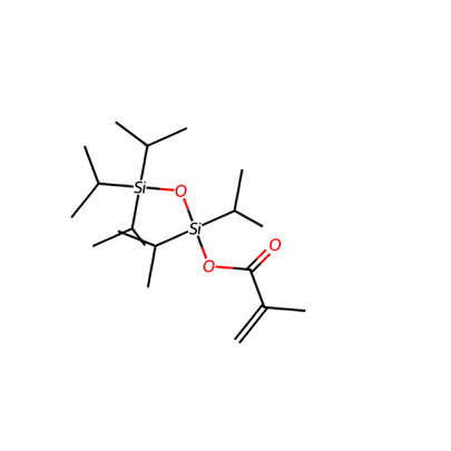 C=C(C)C(=O)O[Si](O[Si](C(C)C)(C(C)C)C(C)C)(C(C)C)C(C)C